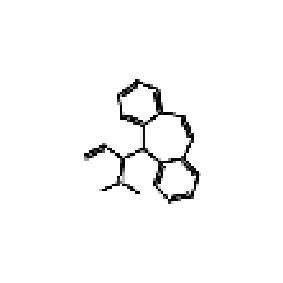 C=CC(C1c2ccccc2C=Cc2ccccc21)N(C)C